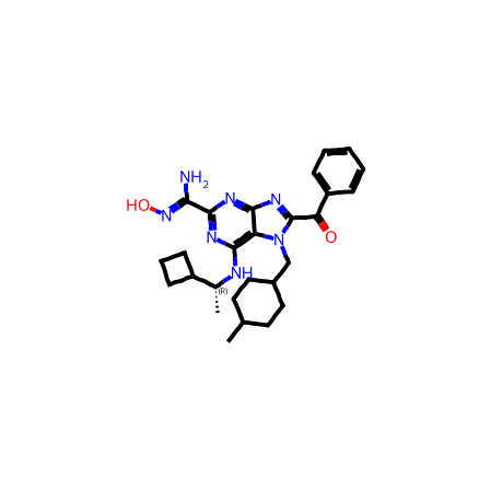 CC1CCC(Cn2c(C(=O)c3ccccc3)nc3nc(C(N)=NO)nc(N[C@H](C)C4CCC4)c32)CC1